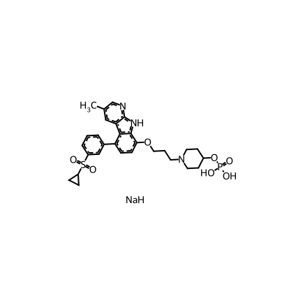 Cc1cnc2[nH]c3c(OCCCN4CCC(OP(=O)(O)O)CC4)ccc(-c4cccc(S(=O)(=O)C5CC5)c4)c3c2c1.[NaH]